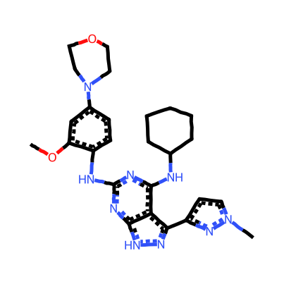 COc1cc(N2CCOCC2)ccc1Nc1nc(NC2CCCCC2)c2c(-c3ccn(C)n3)n[nH]c2n1